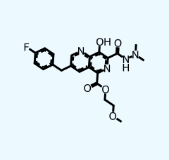 COCCOC(=O)c1nc(C(=O)NN(C)C)c(O)c2ncc(Cc3ccc(F)cc3)cc12